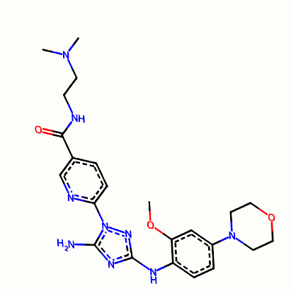 COc1cc(N2CCOCC2)ccc1Nc1nc(N)n(-c2ccc(C(=O)NCCN(C)C)cn2)n1